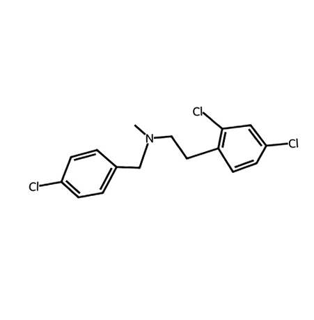 CN(CCc1ccc(Cl)cc1Cl)Cc1ccc(Cl)cc1